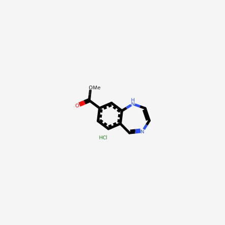 COC(=O)c1ccc2c(c1)NC=CN=C2.Cl